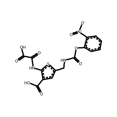 O=C(NCc1cc(C(=O)O)c(NC(=O)C(=O)O)s1)Oc1ccccc1[N+](=O)[O-]